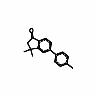 Cc1ccc(-c2ccc3c(c2)C(C)(C)CC3=O)cc1